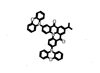 CC(C)c1cc2c(=O)c3cc(N4c5ccccc5Oc5ccccc54)ccc3n3c4ccc(N5c6ccccc6Oc6ccccc65)cc4c(=O)c(c1)c23